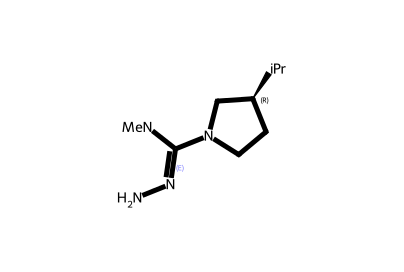 CN/C(=N\N)N1CC[C@H](C(C)C)C1